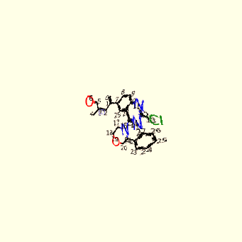 C=C(/C=C(/C)C=O)c1ccc2nc(Cl)nc(N3CCOC[C@@H]3c3ccccc3)c2c1